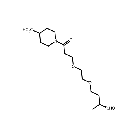 C[C@H](C=O)CCOCCOCCC(=O)N1CCC(C(=O)O)CC1